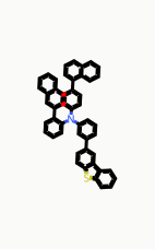 c1cc(-c2ccc3sc4ccccc4c3c2)cc(N(c2ccc(-c3cccc4ccccc34)cc2)c2ccccc2-c2ccc3ccccc3c2)c1